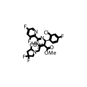 COC(=O)C1=C(CN2CC(F)(F)CC2C(=O)O)NC(c2ncc(F)cc2F)=N[C@H]1c1ccc(F)cc1Cl